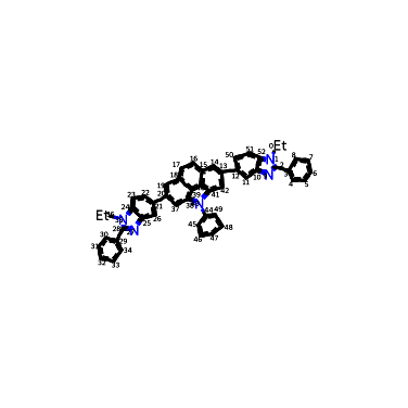 CCn1c(-c2ccccc2)nc2cc(-c3cc4ccc5cc(-c6ccc7c(c6)nc(-c6ccccc6)n7CC)cc6c5c4c(c3)n6-c3ccccc3)ccc21